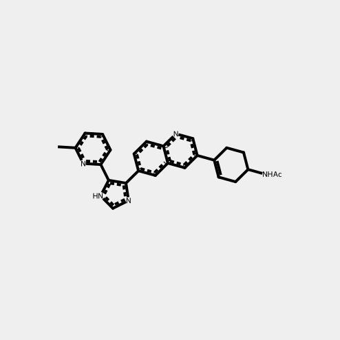 CC(=O)NC1CC=C(c2cnc3ccc(-c4nc[nH]c4-c4cccc(C)n4)cc3c2)CC1